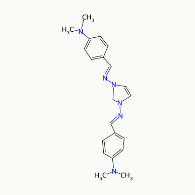 CN(C)c1ccc(C=NN2C=CN(N=Cc3ccc(N(C)C)cc3)C2)cc1